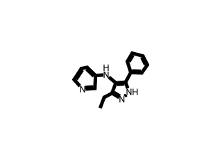 CCc1n[nH]c(-c2ccccc2)c1Nc1cccnc1